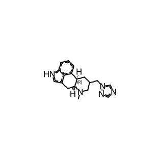 CN1CC(Cn2cncn2)C[C@@H]2c3cccc4[nH]cc(c34)C[C@H]21